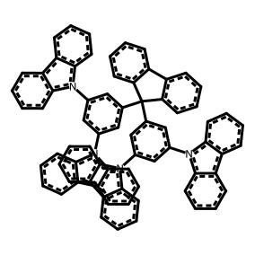 c1ccc2c(c1)-c1ccccc1C2(c1cc(-n2c3ccccc3c3ccccc32)cc(-n2c3ccccc3c3ccccc32)c1)c1cc(-n2c3ccccc3c3ccccc32)cc(-n2c3ccccc3c3ccccc32)c1